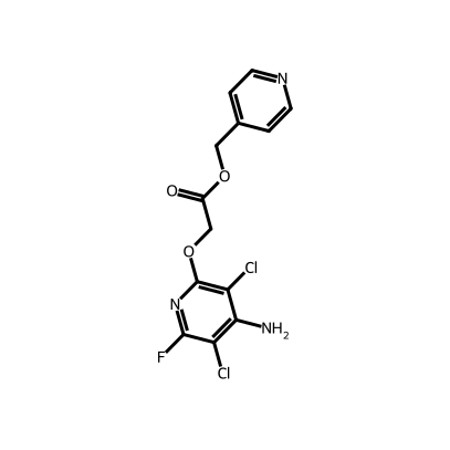 Nc1c(Cl)c(F)nc(OCC(=O)OCc2ccncc2)c1Cl